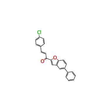 O=C(C=Cc1ccc(Cl)cc1)c1cc2cc(-c3ccccc3)ccc2o1